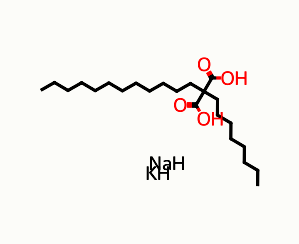 CCCCCCCCCCCCC(CCCCCCCC)(C(=O)O)C(=O)O.[KH].[NaH]